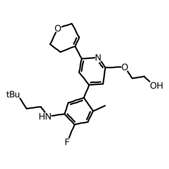 Cc1cc(F)c(NCCC(C)(C)C)cc1-c1cc(OCCO)nc(C2=CCOCC2)c1